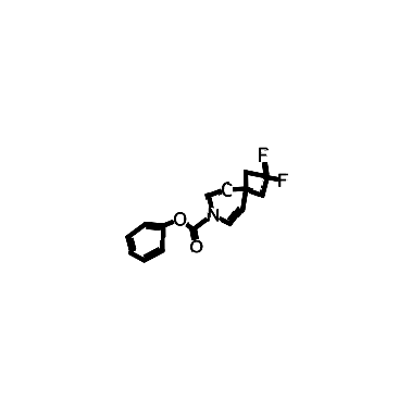 O=C(Oc1ccccc1)N1C=CC2(CC1)CC(F)(F)C2